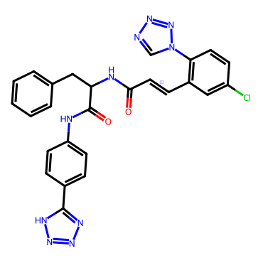 O=C(/C=C/c1cc(Cl)ccc1-n1cnnn1)NC(Cc1ccccc1)C(=O)Nc1ccc(-c2nnn[nH]2)cc1